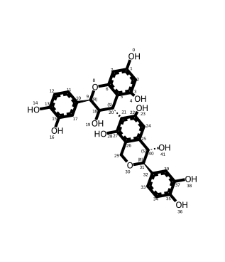 Oc1cc(O)c2c(c1)O[C@H](c1ccc(O)c(O)c1)C(O)[C@H]2c1c(O)cc2c(c1O)CO[C@H](c1ccc(O)c(O)c1)[C@H]2O